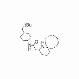 CC(C)(C)C[C@H]1CC[C@H](NC(=O)CC2CCCC3(CCCCCCCC3)N2)CC1